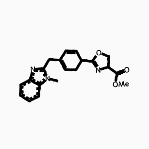 COC(=O)C1COC(C2C=CC(Cc3nc4ccccc4n3C)=CC2)=N1